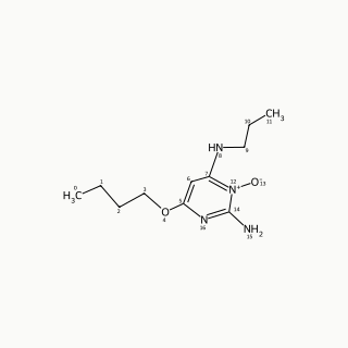 CCCCOc1cc(NCCC)[n+]([O-])c(N)n1